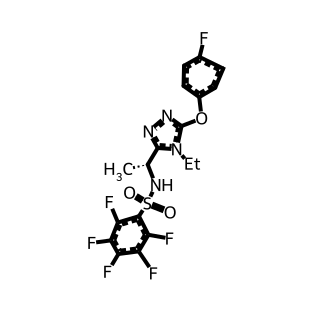 CCn1c(Oc2ccc(F)cc2)nnc1[C@@H](C)NS(=O)(=O)c1c(F)c(F)c(F)c(F)c1F